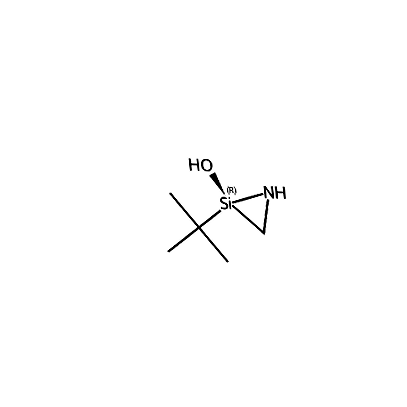 CC(C)(C)[Si@@]1(O)CN1